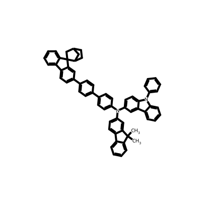 CC1(C)c2ccccc2-c2ccc(N(c3ccc(-c4ccc(-c5ccc6c(c5)C5(CC7CCC5C7)c5ccccc5-6)cc4)cc3)c3ccc4c(c3)c3ccccc3n4-c3ccccc3)cc21